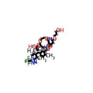 Cc1ccc([C@H](c2ccn3c(C(F)(F)F)nnc3c2C)C(C)(C)C(=O)O)cc1CN1CCCOCCOc2nc(OCCCO)ccc2S1(=O)=O